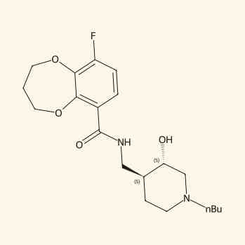 CCCCN1CC[C@@H](CNC(=O)c2ccc(F)c3c2OCCCO3)[C@H](O)C1